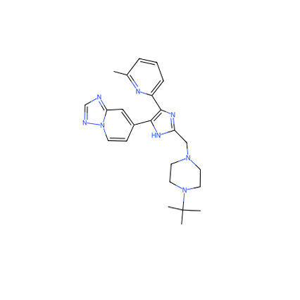 Cc1cccc(-c2nc(CN3CCN(C(C)(C)C)CC3)[nH]c2-c2ccn3ncnc3c2)n1